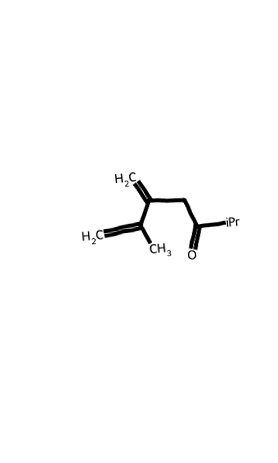 C=C(C)C(=C)CC(=O)C(C)C